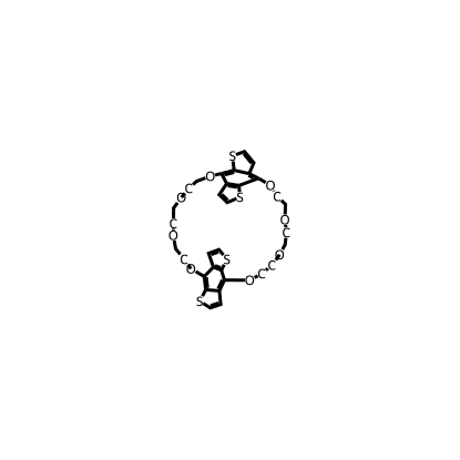 c1cc2c3c4sccc4c(c2s1)OCCOCCOCCOc1c2ccsc2c(c2ccsc12)OCCOCCOCCO3